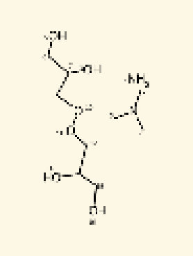 CN(C)C.N.OCC(O)COOCC(O)CO